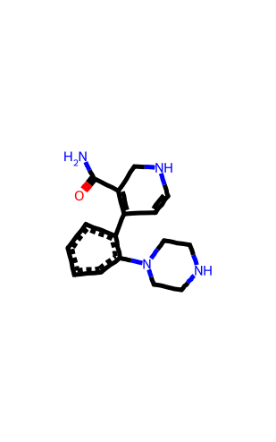 NC(=O)C1=C(c2ccccc2N2CCNCC2)C=CNC1